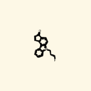 O=C1CCc2c1ccc1c2c2ccccc2n1CCCF